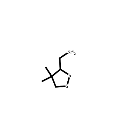 CC1(C)CSSC1CN